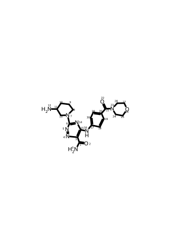 NC(=O)c1nnc(N2CCCC(N)C2)nc1Nc1ccc(C(=O)N2CCOCC2)cc1